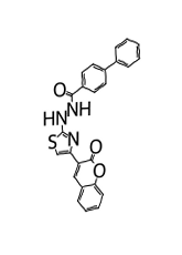 O=C(NNc1nc(-c2cc3ccccc3oc2=O)cs1)c1ccc(-c2ccccc2)cc1